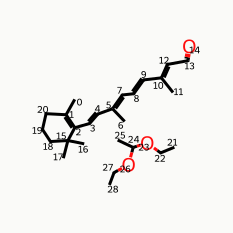 CC1=C(/C=C/C(C)=C/C=C/C(C)=C/C=O)C(C)(C)CCC1.CCOC(C)OCC